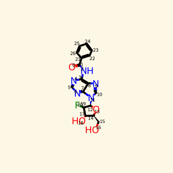 O=C(Nc1ncnc2c1ncn2[C@H]1O[C@@H](CO)C(O)C1F)c1ccccc1